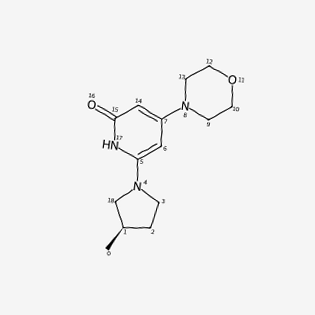 C[C@@H]1CCN(c2cc(N3CCOCC3)cc(=O)[nH]2)C1